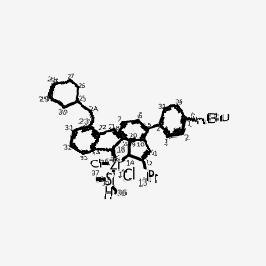 CCCCc1ccc(-c2cccc3c2C=C(C(C)C)[CH]3[Zr]([Cl])([Cl])([CH]2C(C)=Cc3c(CC4CCCCC4)cccc32)[SiH](C)C)cc1